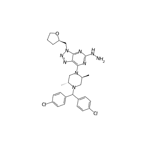 C[C@@H]1CN(c2nc(NN)nc3c2nnn3C[C@H]2CCCO2)[C@@H](C)CN1C(c1ccc(Cl)cc1)c1ccc(Cl)cc1